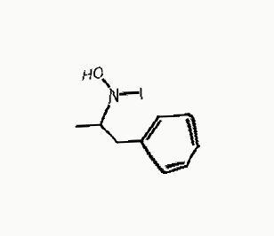 CC(Cc1ccccc1)N(O)I